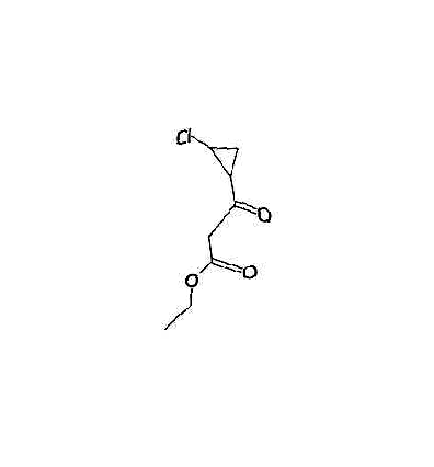 CCOC(=O)CC(=O)C1CC1Cl